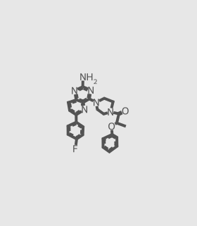 CC(Oc1ccccc1)C(=O)N1CCN(c2nc(N)nc3ccc(-c4ccc(F)cc4)nc23)CC1